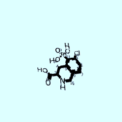 O=C(O)C1Cc2c(ccc(Cl)c2P(=O)(O)O)CN1